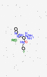 Cl.Cl.N=C(N)Nc1cc(C(=O)NCCc2ccc(F)cc2)cc(-c2cnc(-c3cc4ccccc4cn3)[nH]2)c1